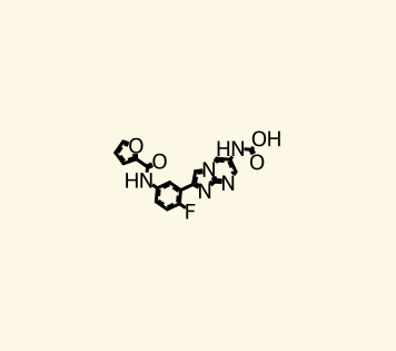 O=C(O)Nc1cnc2nc(-c3cc(NC(=O)c4ccco4)ccc3F)cn2c1